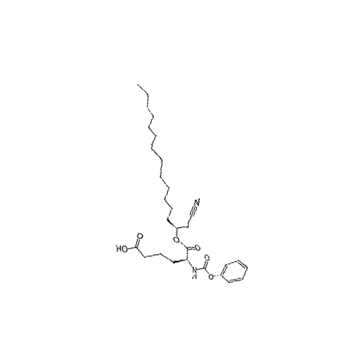 CCCCCCCCCCCCC[C@@H](CC#N)OC(=O)[C@H](CCCC(=O)O)NC(=O)Oc1ccccc1